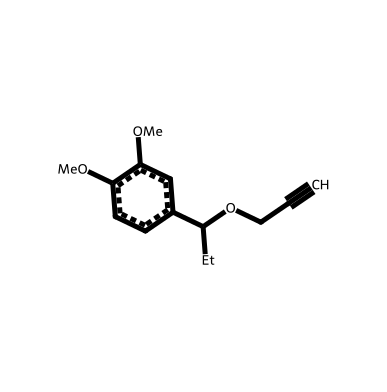 C#CCOC(CC)c1ccc(OC)c(OC)c1